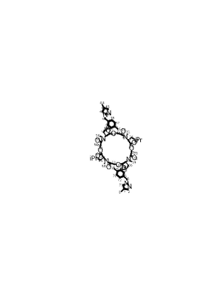 Cc1cnn(Cc2ccc(C[C@H]3OC(=O)[C@H](CC(C)C)N(C)C(=O)[C@@H](C)OC(=O)[C@H](CC(C)C)N(C)C(=O)[C@@H](Cc4ccc(Cn5cc(C)cn5)cc4)OC(=O)[C@H](CC(C)C)N(C)C(=O)[C@@H](C)OC(=O)[C@H](CC(C)C)N(C)C3=O)cc2)c1